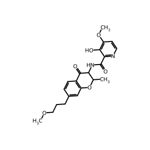 COCCCc1ccc2c(c1)OC(C)C(NC(=O)c1nccc(OC)c1O)C2=O